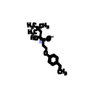 C=Cc1ccc(OCC/[P+]([O-])=C(\O)C[N+](C)(C)C)cc1